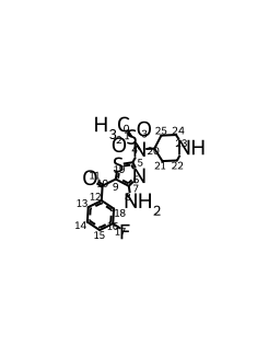 CS(=O)(=O)N(c1nc(N)c(C(=O)c2cccc(F)c2)s1)C1CCNCC1